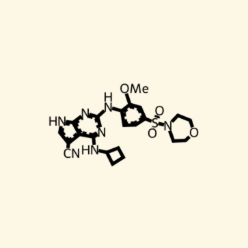 COc1cc(S(=O)(=O)N2CCOCC2)ccc1Nc1nc(NC2CCC2)c2c(C#N)c[nH]c2n1